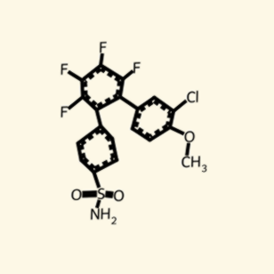 COc1ccc(-c2c(F)c(F)c(F)c(F)c2-c2ccc(S(N)(=O)=O)cc2)cc1Cl